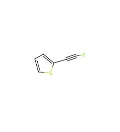 FC#Cc1cccs1